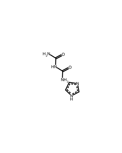 NC(=O)NC(N)=O.c1c[nH]cn1